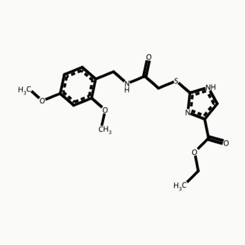 CCOC(=O)c1c[nH]c(SCC(=O)NCc2ccc(OC)cc2OC)n1